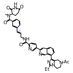 CCc1nc(-c2cccc3cc(-c4ccc(C(=O)NC/C=C/c5cccc(C(=O)N(C)C6CCC(=O)NC6=O)c5)nc4)ncc23)c2n1CCN(C(C)=O)C2